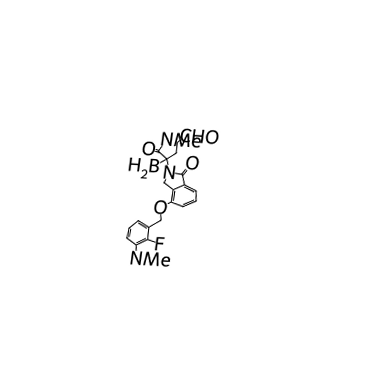 BC(CCC=O)(C(=O)NC)N1Cc2c(OCc3cccc(NC)c3F)cccc2C1=O